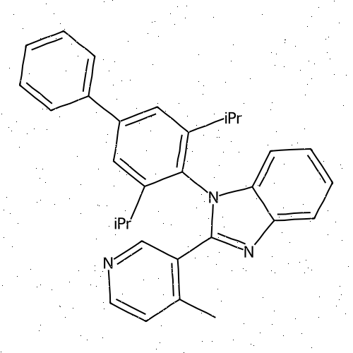 Cc1ccncc1-c1nc2ccccc2n1-c1c(C(C)C)cc(-c2ccccc2)cc1C(C)C